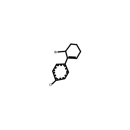 Clc1ccc(C2=CCCCC2Br)cc1